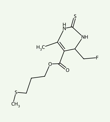 CSCCCOC(=O)C1=C(C)NC(=S)NC1CF